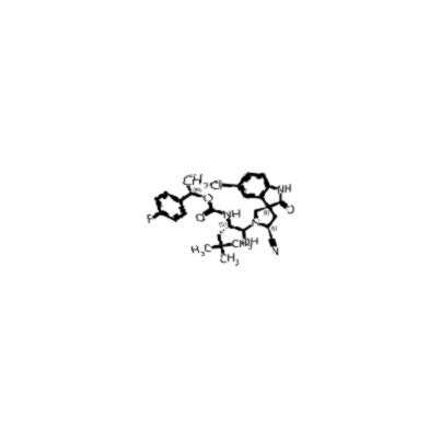 C[C@@H](OC(=O)N[C@@H](CC(C)(C)C)C(O)N1C[C@]2(C[C@H]1C#N)C(=O)Nc1ccc(Cl)cc12)c1ccc(F)cc1